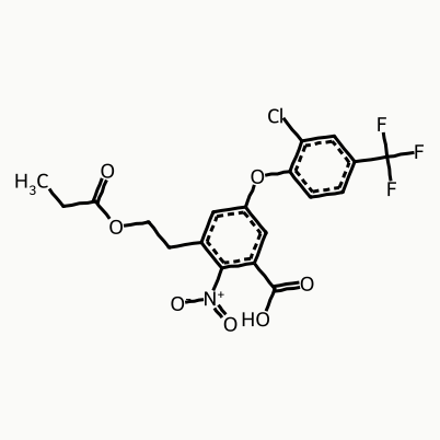 CCC(=O)OCCc1cc(Oc2ccc(C(F)(F)F)cc2Cl)cc(C(=O)O)c1[N+](=O)[O-]